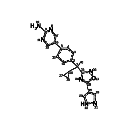 CC(c1ccc(-c2cnc(N)nc2)cc1)(c1noc(-c2cn[nH]c2)n1)C1CC1